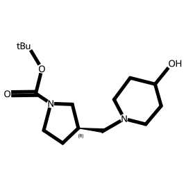 CC(C)(C)OC(=O)N1CC[C@H](CN2CCC(O)CC2)C1